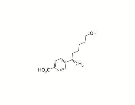 C=C(CCCCCO)c1ccc(C(=O)O)cc1